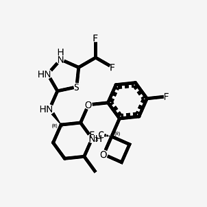 CC1CC[C@@H](NC2NNC(C(F)F)S2)C(Oc2ccc(F)cc2[C@@]2(C(F)(F)F)CCO2)N1